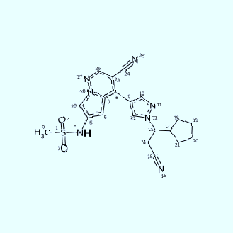 CS(=O)(=O)Nc1cc2c(-c3cnn(C(CC#N)C4CCCC4)c3)c(C#N)cnn2c1